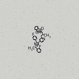 CC(CNC(=O)c1ccccc1O)Cc1cc(-c2cn(C(C)c3ccccc3F)nc2-c2ccc(F)cc2)ccn1